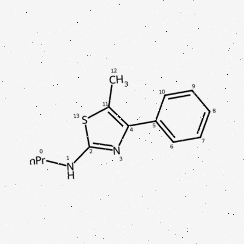 CCCNc1nc(-c2ccccc2)c(C)s1